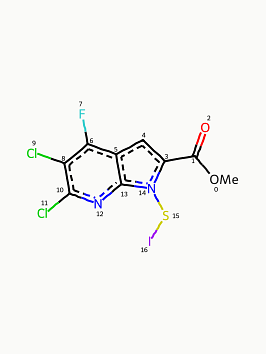 COC(=O)c1cc2c(F)c(Cl)c(Cl)nc2n1SI